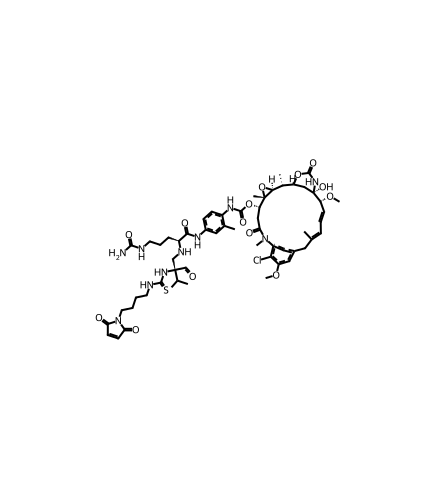 COc1cc2cc(c1Cl)N(C)C(=O)C[C@H](OC(=O)Nc1ccc(NC(=O)[C@H](CCCNC(N)=O)NC[C@](C=O)(NC(=S)NCCCCN3C(=O)C=CC3=O)C(C)C)cc1C)[C@]1(C)O[C@H]1[C@H](C)[C@@H]1C[C@@](O)(NC(=O)O1)[C@H](OC)/C=C/C=C(\C)C2